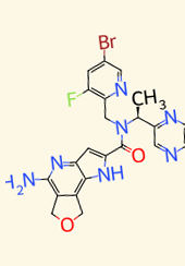 C[C@@H](c1cnccn1)N(Cc1ncc(Br)cc1F)C(=O)c1cc2nc(N)c3c(c2[nH]1)COC3